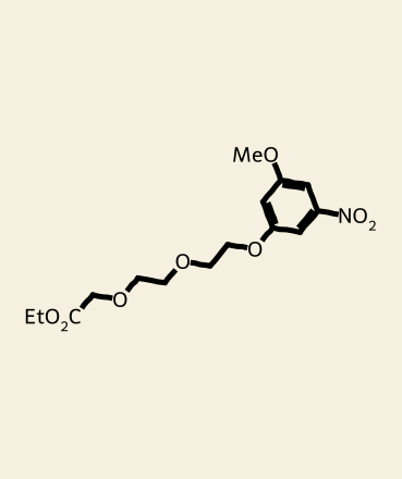 CCOC(=O)COCCOCCOc1cc(OC)cc([N+](=O)[O-])c1